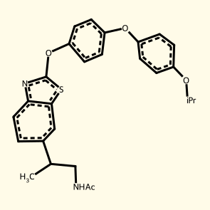 CC(=O)NCC(C)c1ccc2nc(Oc3ccc(Oc4ccc(OC(C)C)cc4)cc3)sc2c1